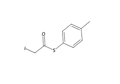 Cc1ccc(SC(=O)CI)cc1